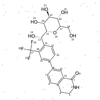 O=C1NCCc2ccc(-c3ccc([C@H](O)[C@H]4OC(CO)[C@@H](O)[C@H](O)C4O)c(C(F)(F)F)c3)cc21